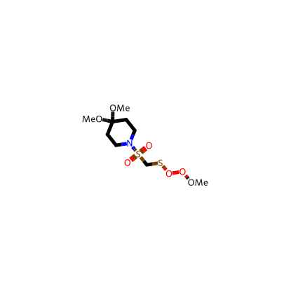 COOOSCS(=O)(=O)N1CCC(OC)(OC)CC1